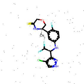 C[C@@]1(c2cc(NC(c3n[nH]cc3Cl)C(F)F)ccc2F)COCC(=S)N1